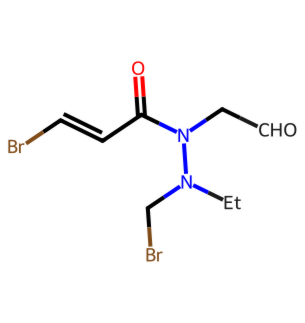 CCN(CBr)N(CC=O)C(=O)/C=C/Br